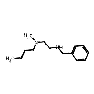 CCCCN(C)CCNCc1ccccc1